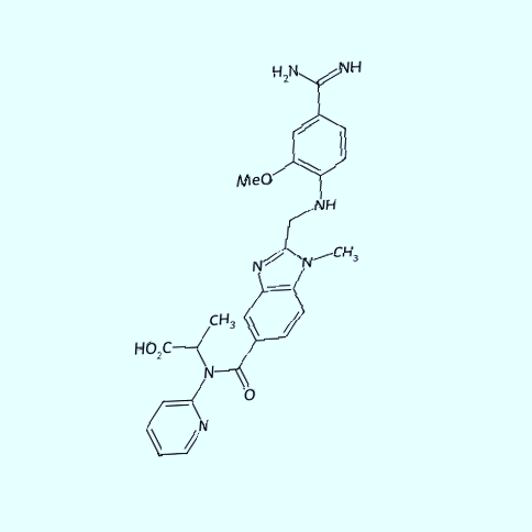 COc1cc(C(=N)N)ccc1NCc1nc2cc(C(=O)N(c3ccccn3)C(C)C(=O)O)ccc2n1C